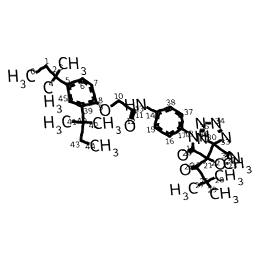 CCC(C)(C)c1ccc(OCC(=O)Nc2ccc(NC(=O)C(OC)(C(=O)C(C)(C)C)C3(C#N)N=NN=N3)cc2)c(C(C)(C)CC)c1